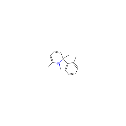 CC1=CC=CC(C)(c2ccccc2C)N1C